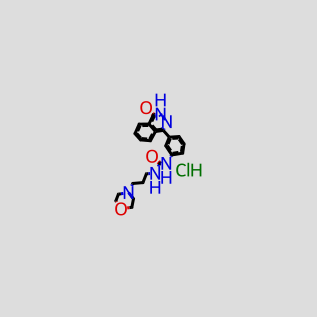 Cl.O=C(NCCCN1CCOCC1)Nc1cccc(-c2n[nH]c(=O)c3ccccc23)c1